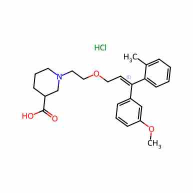 COc1cccc(/C(=C\COCCN2CCCC(C(=O)O)C2)c2ccccc2C)c1.Cl